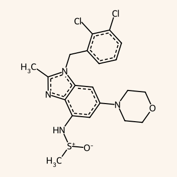 Cc1nc2c(N[S+](C)[O-])cc(N3CCOCC3)cc2n1Cc1cccc(Cl)c1Cl